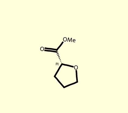 COC(=O)[C@H]1CCCO1